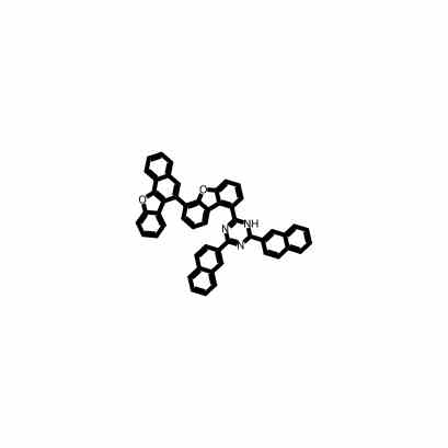 c1ccc2cc(C3=NC(c4ccc5ccccc5c4)NC(c4cccc5oc6c(-c7cc8ccccc8c8oc9ccccc9c78)cccc6c45)=N3)ccc2c1